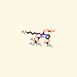 C=CCCCCC[C@H](NC(=O)OC(C)(C)C)C(=O)N1C[C@H](OC(C)=O)C[C@H]1C(=O)O